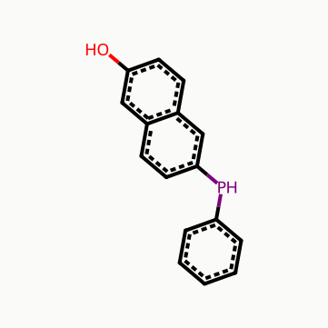 Oc1ccc2cc(Pc3ccccc3)ccc2c1